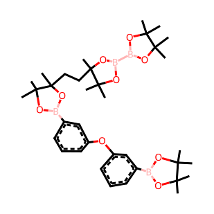 CC1(C)OB(B2OC(C)(C)C(C)(CCC3(C)OB(c4cccc(Oc5cccc(B6OC(C)(C)C(C)(C)O6)c5)c4)OC3(C)C)O2)OC1(C)C